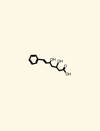 O=C(O)CC(O)CC(O)/C=C/c1ccccc1